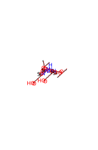 CCCCCCCCC(CCCCCCCC)C(=O)OCCCCCC(CN(CCCCNC(=O)CN(C)CC(=O)NCCCCN(CC(CCCCCCCCCCCCCCC(=O)O)O[Si](C)(C)C(C)(C)C)CC(CCCCCOC(=O)C(CCCCCCCC)CCCCCCCC)O[Si](C)(C)C(C)(C)C)CC(CCCCCCCCCCCCCCC(=O)O)O[Si](C)(C)C(C)(C)C)O[Si](C)(C)C(C)(C)C